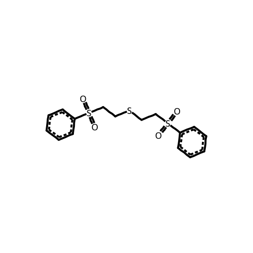 O=S(=O)(CCSCCS(=O)(=O)c1ccccc1)c1ccccc1